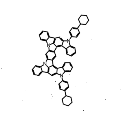 c1ccc2c(c1)c1c3c4cc5c6c7c8ccccc8n(-c8ccc(C9CCCCC9)cc8)c7cc7c8ccccc8n(c5cc4n4c5ccccc5c(cc1n2-c1ccc(C2CCCCC2)cc1)c34)c76